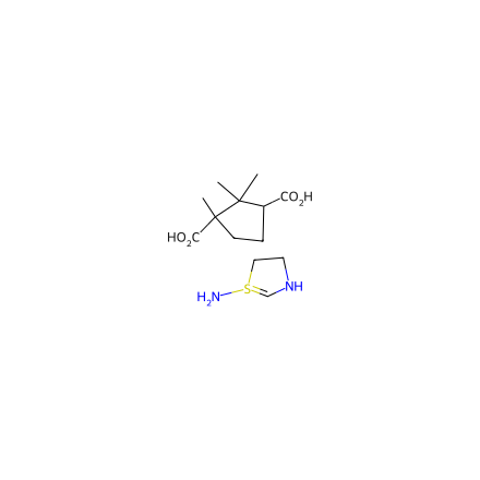 CC1(C(=O)O)CCC(C(=O)O)C1(C)C.NS1=CNCC1